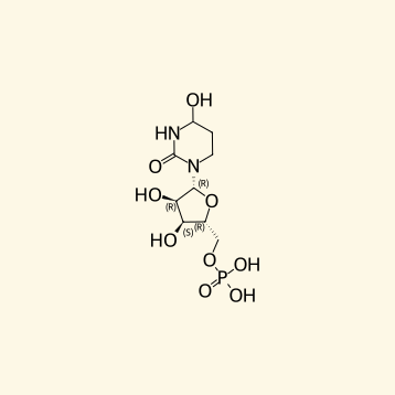 O=C1NC(O)CCN1[C@@H]1O[C@H](COP(=O)(O)O)[C@@H](O)[C@H]1O